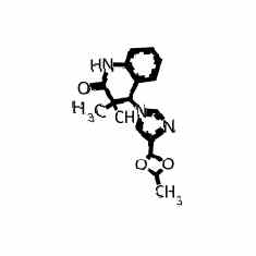 CC1OC(c2cn(C3c4ccccc4NC(=O)C3(C)C)cn2)O1